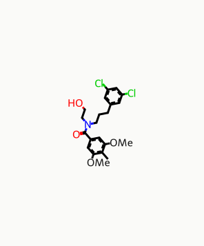 COc1cc(C(=O)N(CCO)CCCc2cc(Cl)cc(Cl)c2)cc(OC)c1C